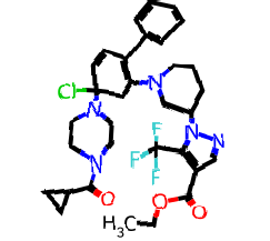 CCOC(=O)c1cnn(C2CCCN(C3=C(c4ccccc4)C=CC(Cl)(N4CCN(C(=O)C5CC5)CC4)C3)C2)c1C(F)(F)F